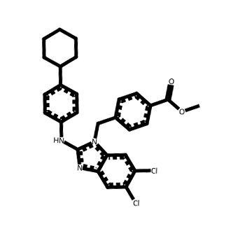 COC(=O)c1ccc(Cn2c(Nc3ccc(C4CCCCC4)cc3)nc3cc(Cl)c(Cl)cc32)cc1